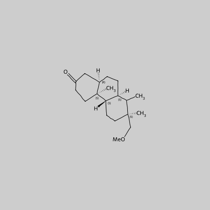 COC[C@@]1(C)CC[C@H]2[C@@H](CC[C@@H]3CC(=O)CC[C@@]32C)C1C